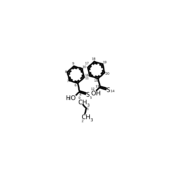 CCC.OC(=S)c1ccccc1.OC(=S)c1ccccc1